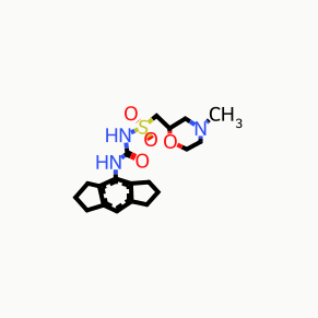 CN1CCOC(CS(=O)(=O)NC(=O)Nc2c3c(cc4c2CCC4)CCC3)C1